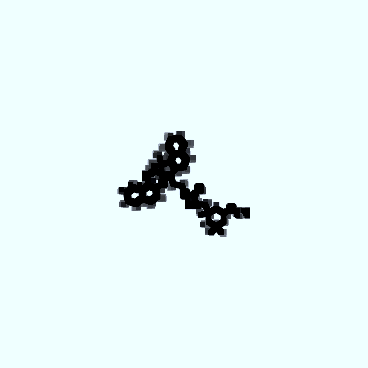 CC1(C)CC(OC#N)CC(C)(CNC(=O)OCCN2c3ccc4ccccc4c3C(C)(C)C23C=Nc2c(ccc4ccccc24)O3)C1